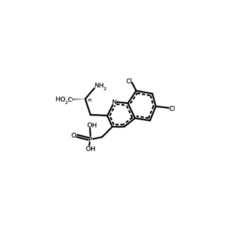 N[C@H](Cc1nc2c(Cl)cc(Cl)cc2cc1CP(=O)(O)O)C(=O)O